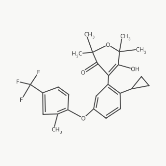 Cc1cc(C(F)(F)F)ccc1Oc1ccc(C2CC2)c(C2=C(O)C(C)(C)OC(C)(C)C2=O)c1